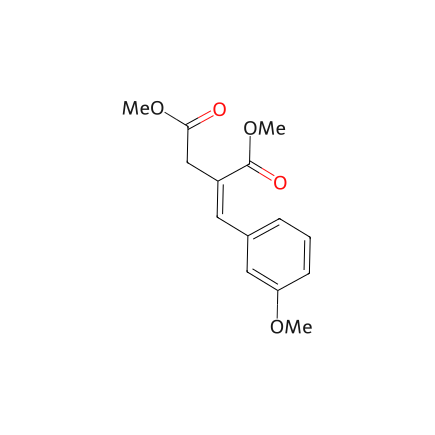 COC(=O)CC(=Cc1cccc(OC)c1)C(=O)OC